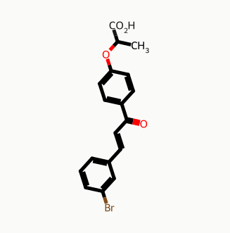 CC(Oc1ccc(C(=O)/C=C/c2cccc(Br)c2)cc1)C(=O)O